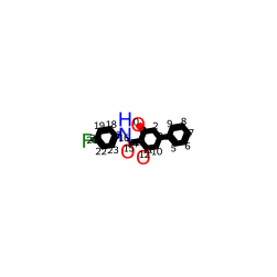 O=C1CC(c2ccccc2)CC(=O)C1C(=O)Nc1ccc(F)cc1